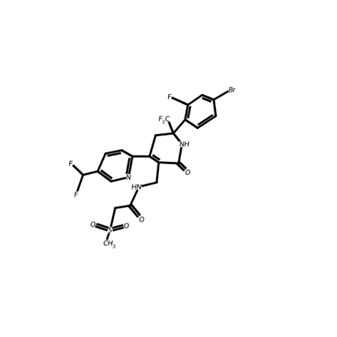 CS(=O)(=O)CC(=O)NCC1=C(c2ccc(C(F)F)cn2)CC(c2ccc(Br)cc2F)(C(F)(F)F)NC1=O